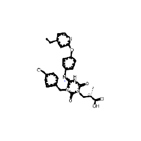 CCc1ccnc(Oc2ccc(/N=c3\[nH]c(=O)n(C[C@H](C)C(=O)O)c(=O)n3Cc3ccc(Cl)cc3)cc2)c1